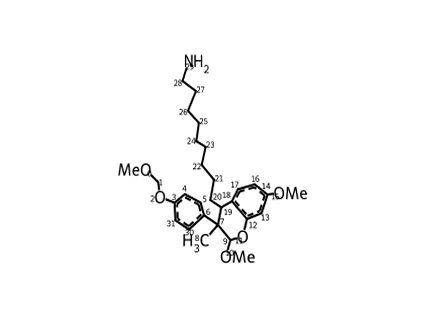 COCOc1ccc(C2(C)C(OC)Oc3cc(OC)ccc3C2CCCCCCCCCN)cc1